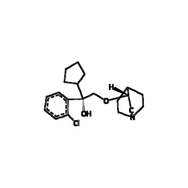 O[C@](CO[C@H]1CN2CCC1CC2)(c1ccccc1Cl)C1CCCC1